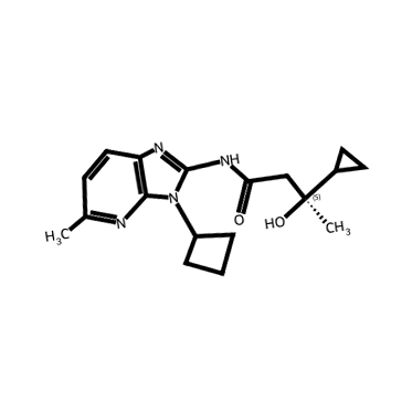 Cc1ccc2nc(NC(=O)C[C@](C)(O)C3CC3)n(C3CCC3)c2n1